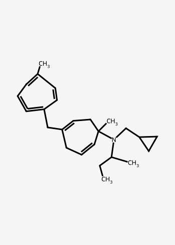 CCC(C)N(CC1CC1)C1(C)C=CCC(CC2=C=CC=C(C)C=C2)=CC1